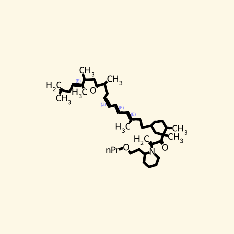 C=C(C)C/C=C(\C)C(C)CC(=O)C(C)C\C=C/C=C/C=C(\C)CCC1CCC(C)C(C)(C(=O)C(=C)N2CCCCC2CCOCCC)C1